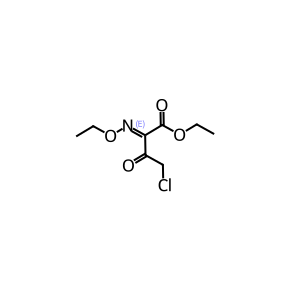 CCO/N=C(\C(=O)CCl)C(=O)OCC